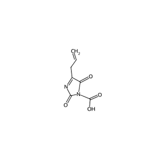 C=CCC1=NC(=O)N(C(=O)O)C1=O